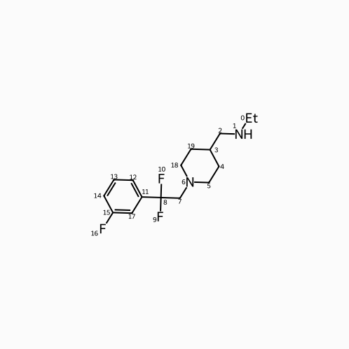 CCNCC1CCN(CC(F)(F)c2cccc(F)c2)CC1